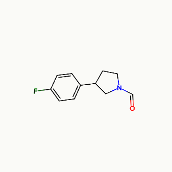 O=CN1CCC(c2ccc(F)cc2)C1